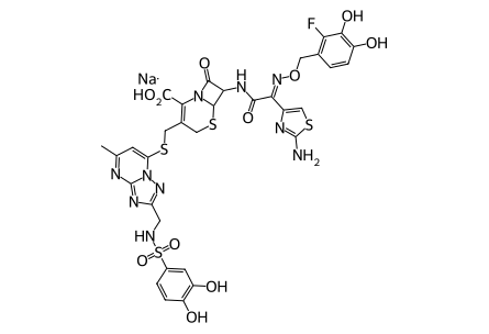 Cc1cc(SCC2=C(C(=O)O)N3C(=O)C(NC(=O)C(=NOCc4ccc(O)c(O)c4F)c4csc(N)n4)C3SC2)n2nc(CNS(=O)(=O)c3ccc(O)c(O)c3)nc2n1.[Na]